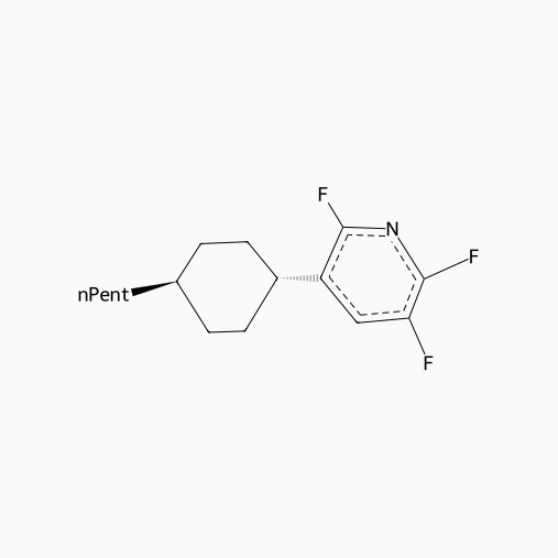 CCCCC[C@H]1CC[C@H](c2cc(F)c(F)nc2F)CC1